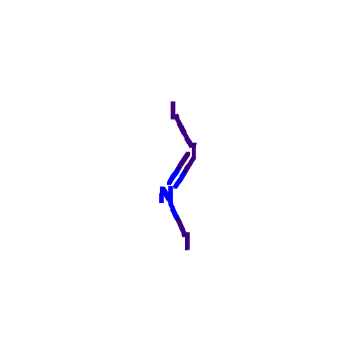 I/N=I/I